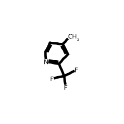 Cc1[c]c(C(F)(F)F)ncc1